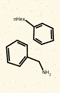 CCCCCCc1ccccc1.NCc1ccccc1